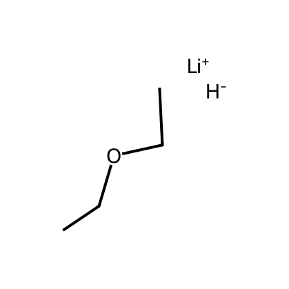 CCOCC.[H-].[Li+]